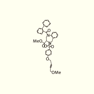 COCC#CCOc1ccc(S(=O)(=O)N2Cc3ccccc3N(C(=O)c3ccccc3-c3ccccc3)CC2C(=O)OC)cc1